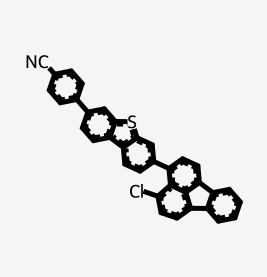 N#Cc1ccc(-c2ccc3c(c2)sc2cc(-c4ccc5c6c(ccc(Cl)c46)-c4ccccc4-5)ccc23)cc1